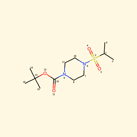 CC(C)S(=O)(=O)N1CCN(C(=O)OC(C)(C)C)CC1